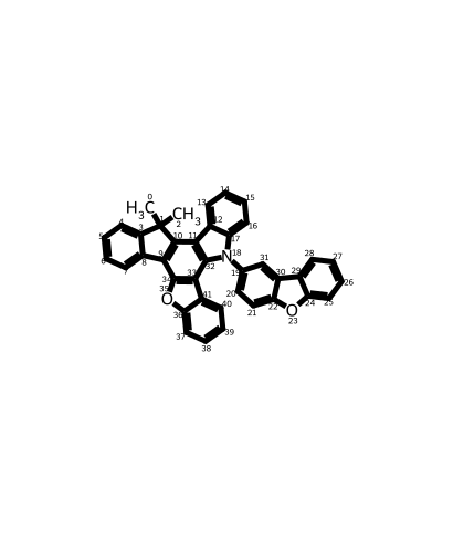 CC1(C)c2ccccc2-c2c1c1c3ccccc3n(-c3ccc4oc5ccccc5c4c3)c1c1c2oc2ccccc21